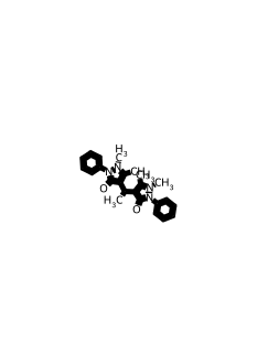 Cc1c(C(C)c2c(C)n(C)n(-c3ccccc3)c2=O)c(=O)n(-c2ccccc2)n1C